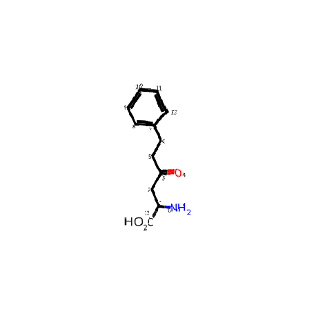 NC(CC(=O)CCc1ccccc1)C(=O)O